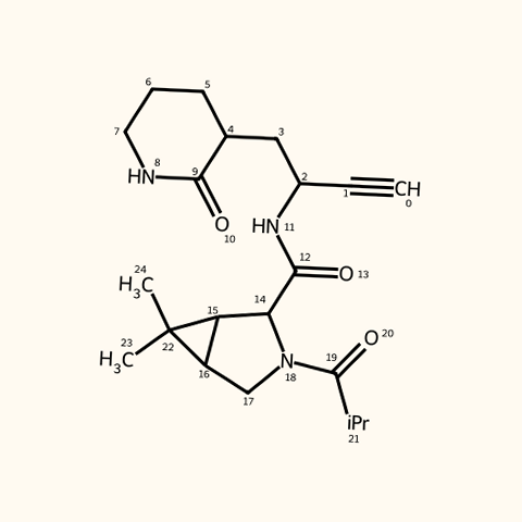 C#CC(CC1CCCNC1=O)NC(=O)C1C2C(CN1C(=O)C(C)C)C2(C)C